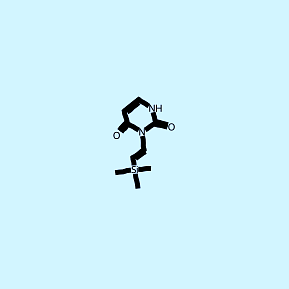 C[Si](C)(C)C=Cn1c(=O)cc[nH]c1=O